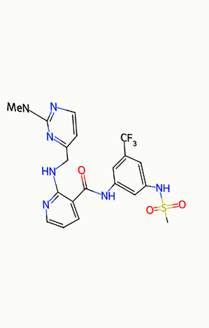 CNc1nccc(CNc2ncccc2C(=O)Nc2cc(NS(C)(=O)=O)cc(C(F)(F)F)c2)n1